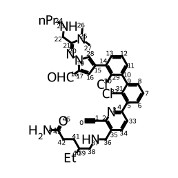 C#Cc1nc(-c2cccc(-c3cccc(-c4cc(C=O)n(/N=C(/CNCCC)N(C)C)c4)c3Cl)c2Cl)ccc1CNCC(CC)CCC(N)=O